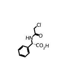 O=C(CCl)N[C@H](C(=O)O)c1ccccc1